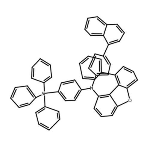 c1ccc(-c2cccc3oc4cccc(N(c5ccc(-c6cccc7ccccc67)cc5)c5ccc([Si](c6ccccc6)(c6ccccc6)c6ccccc6)cc5)c4c23)cc1